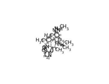 CC[C@@H]1CN(Cc2cc([C@H](CC(=O)N[C@@H](C)CC)c3ccc4c(nnn4CC)c3C)ccc2C)S(=O)(=O)c2cccnc2O1